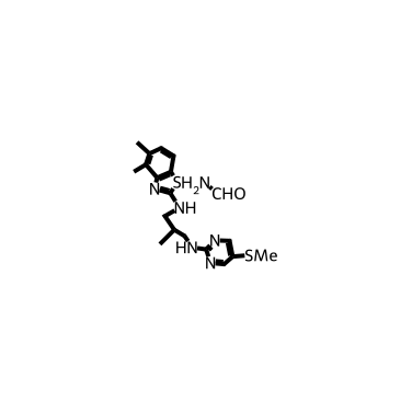 CSc1cnc(NCC(C)CNc2nc3c(C)c(C)ccc3s2)nc1.NC=O